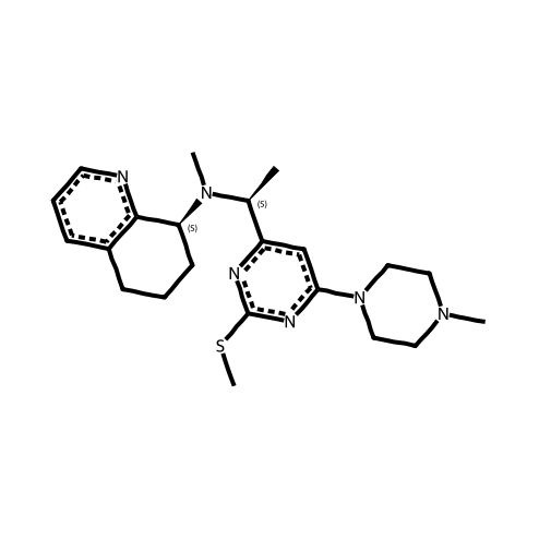 CSc1nc([C@H](C)N(C)[C@H]2CCCc3cccnc32)cc(N2CCN(C)CC2)n1